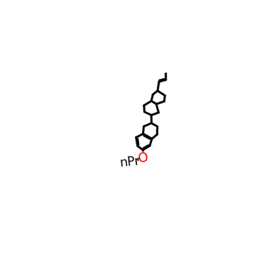 CC=CC1CCC2CC(C3CCc4cc(OCCC)ccc4C3)CCC2C1